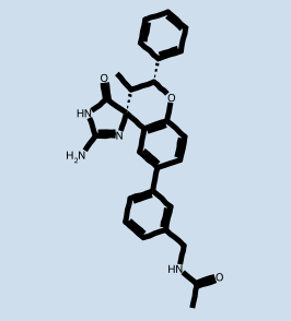 CC(=O)NCc1cccc(-c2ccc3c(c2)[C@]2(N=C(N)NC2=O)C(C)[C@H](c2ccccc2)O3)c1